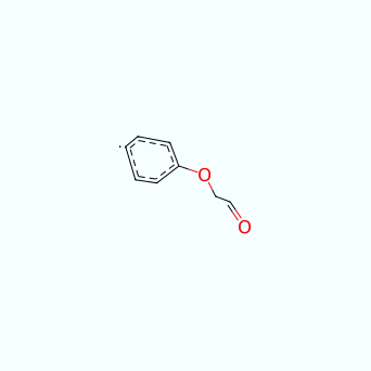 O=CCOc1cc[c]cc1